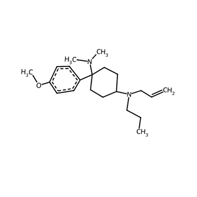 C=CCN(CCC)C1CCC(c2ccc(OC)cc2)(N(C)C)CC1